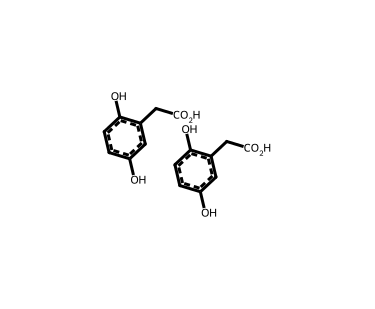 O=C(O)Cc1cc(O)ccc1O.O=C(O)Cc1cc(O)ccc1O